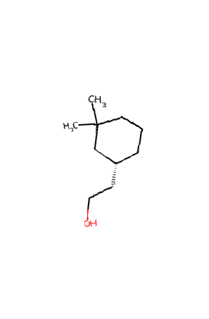 CC1(C)CCC[C@H](CCO)C1